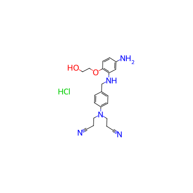 Cl.N#CCCN(CCC#N)c1ccc(CNc2cc(N)ccc2OCCO)cc1